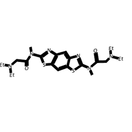 CCN(CC)CC(=O)N(C)c1nc2cc3nc(N(C)C(=O)CN(CC)CC)sc3cc2s1